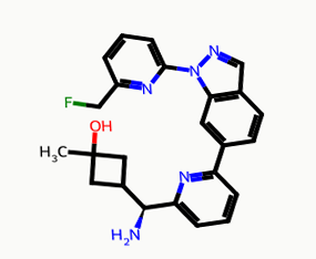 CC1(O)CC([C@H](N)c2cccc(-c3ccc4cnn(-c5cccc(CF)n5)c4c3)n2)C1